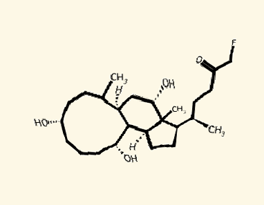 CC1CC[C@@H](O)CCC[C@@H](O)C2[C@@H]1C[C@H](O)C1(C)[C@@H]([C@H](C)CCC(=O)CF)CC[C@@H]21